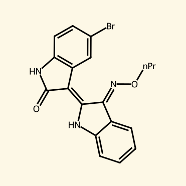 CCCO/N=C1/C(=C2/C(=O)Nc3ccc(Br)cc32)Nc2ccccc21